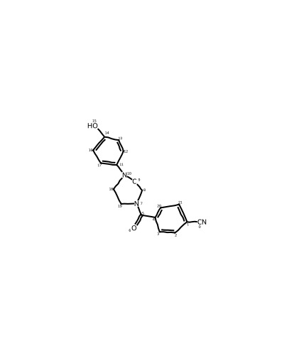 N#Cc1ccc(C(=O)N2CCN(c3ccc(O)cc3)CC2)cc1